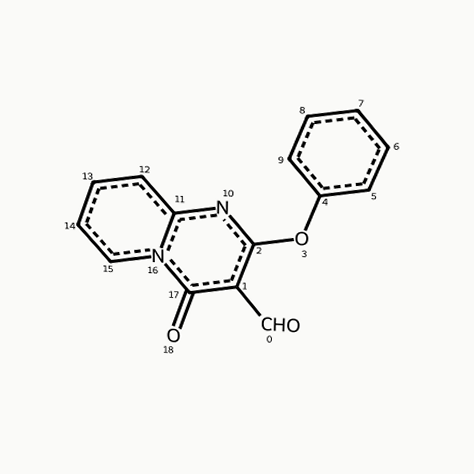 O=Cc1c(Oc2ccccc2)nc2ccccn2c1=O